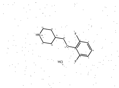 Cl.Fc1cccc(F)c1OCC1CCNCC1